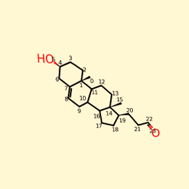 C[C@]12CC[C@H](O)CC1=CCC1C2CC[C@@]2(C)C1CC[C@@H]2CCC=O